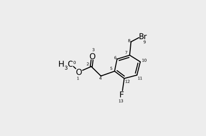 COC(=O)Cc1cc(CBr)ccc1F